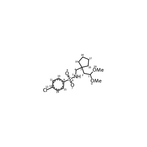 COC(CC1(CNS(=O)(=O)c2ccc(Cl)cc2)CCCC1)OC